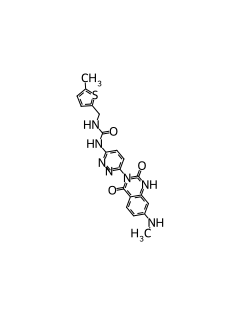 CNc1ccc2c(=O)n(-c3ccc(NC(=O)NCc4ccc(C)s4)nn3)c(=O)[nH]c2c1